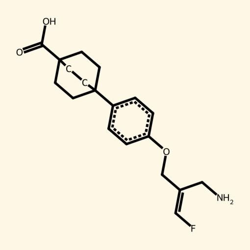 NC/C(=C\F)COc1ccc(C23CCC(C(=O)O)(CC2)CC3)cc1